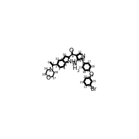 C=C(c1ccc2[nH]c(C(=O)c3cnn(-c4ccc(Oc5cccc(Br)c5)cc4)c3N)cc2c1)N1CCOCC1